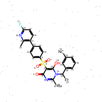 CCCCc1nc(=O)c(S(=O)(=O)c2ccc(-c3ccc(F)nc3C)cc2)c(O)n1C(CC)c1cccc(C#N)c1